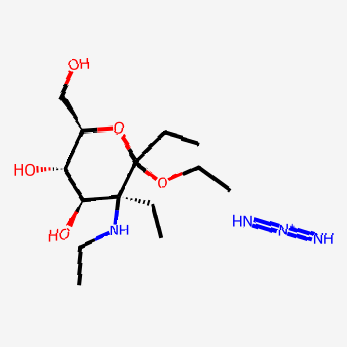 CCN[C@@]1(CC)[C@@H](O)[C@H](O)[C@@H](CO)OC1(CC)OCC.N=[N+]=N